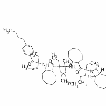 C/C=C\C(CC)(N[C@H]1CCCCCC[C@H]1C(=O)C(CC)(CCCC)C(C)(CCC)N[C@H]1CCCCCC[C@H]1C(=O)C(CC)(CCC)N1C(=O)[C@@H]2CCCCCC[C@@H]21)C(=O)c1ccc(CCCC)cc1